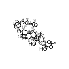 CC(=O)O[C@@H](C1C[C@@H](C)[C@H]2C(O1)[C@H](O)[C@@]1(C)C3CC[C@H]4C(C)(C)[C@@H](O[C@H]5CN(CC6CN(C7COC7)C6)CCO5)CC[C@@]45C[C@@]35CC[C@]21C)C(C)(C)O